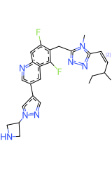 CCC(C)/C=C\c1nnc(Cc2c(F)cc3ncc(-c4cnn(C5CNC5)c4)cc3c2F)n1C